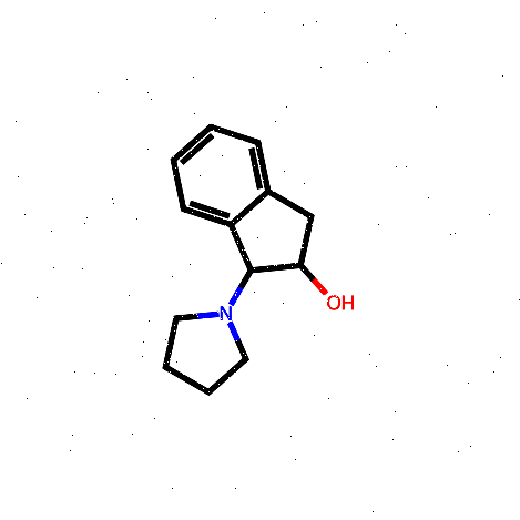 OC1Cc2ccccc2C1N1CCCC1